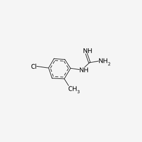 Cc1cc(Cl)ccc1NC(=N)N